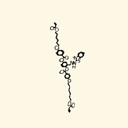 C=CC(=O)OCCCCCCOc1ccc(C(=O)Oc2ccc(OC(=O)c3ccc(OCCCCCCOC(=O)C=C)cc3)c(/C=N/NC3Sc4ccccc4N3C)c2)cc1